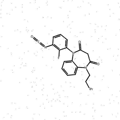 CC(C)CCN1C(=O)CC(=O)N(c2cccc(N=C=O)c2F)c2ccccc21